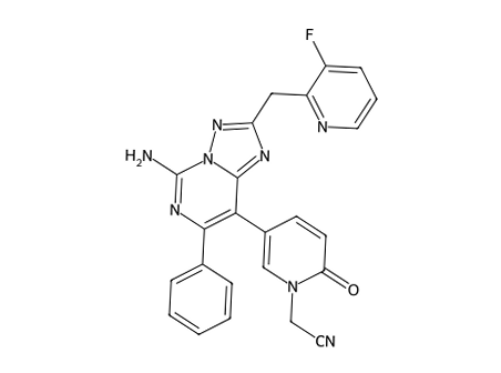 N#CCn1cc(-c2c(-c3ccccc3)nc(N)n3nc(Cc4ncccc4F)nc23)ccc1=O